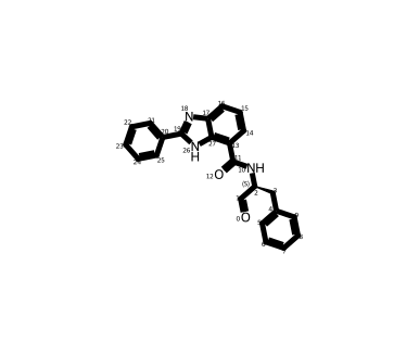 O=C[C@H](Cc1ccccc1)NC(=O)c1cccc2nc(-c3ccccc3)[nH]c12